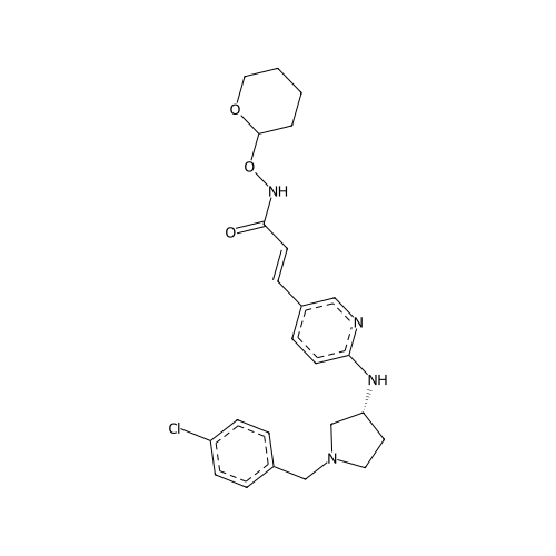 O=C(C=Cc1ccc(N[C@@H]2CCN(Cc3ccc(Cl)cc3)C2)nc1)NOC1CCCCO1